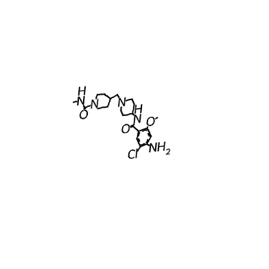 CNC(=O)N1CCC(CN2CCC(NC(=O)c3cc(Cl)c(N)cc3OC)CC2)CC1